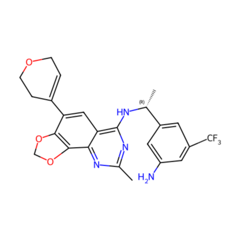 Cc1nc(N[C@H](C)c2cc(N)cc(C(F)(F)F)c2)c2cc(C3=CCOCC3)c3c(c2n1)OCO3